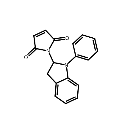 O=C1C=CC(=O)N1C1Cc2ccccc2N1c1ccccc1